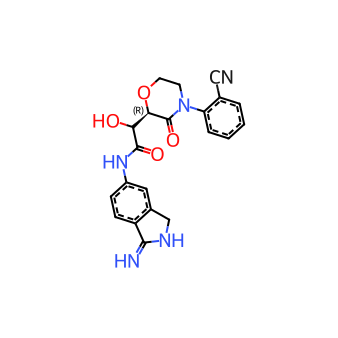 N#Cc1ccccc1N1CCO[C@H](C(O)C(=O)Nc2ccc3c(c2)CNC3=N)C1=O